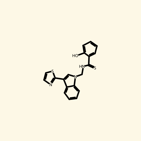 Oc1ccccc1C(=S)NCn1cc(-c2nccs2)c2ccccc21